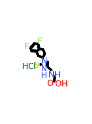 Cl.O=C(O)CNCc1cn([C@H]2CCc3c(F)cc(F)cc3C2)c(=S)[nH]1